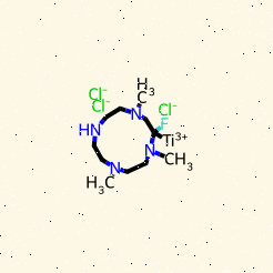 CN1CCNCCN(C)C[C](F)([Ti+3])N(C)CC1.[Cl-].[Cl-].[Cl-]